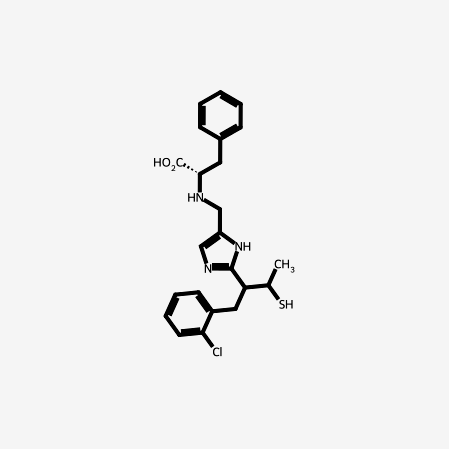 CC(S)C(Cc1ccccc1Cl)c1ncc(CN[C@@H](Cc2ccccc2)C(=O)O)[nH]1